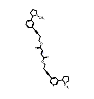 CN1CCCC1c1cncc(C#CCCOC(=O)/C=C/C(=O)OCCC#Cc2cncc(C3CCCN3C)c2)c1